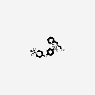 CC(C)CN(Cc1ccccn1)S(=O)(=O)c1ccc(OC2CCN(S(C)(=O)=O)CC2)cc1